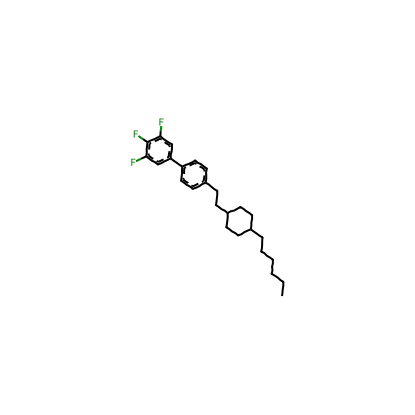 CCCCCCC1CCC(CCc2ccc(-c3cc(F)c(F)c(F)c3)cc2)CC1